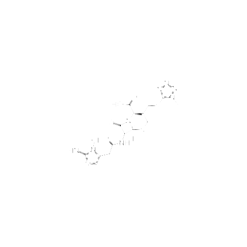 Cn1nnnc1SCC1=C(C(=O)O)N2C(=O)C(NC(=O)Cc3csc(=N)n3O)[C@@H]2SC1